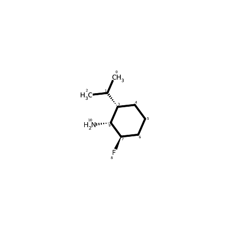 CC(C)[C@@H]1CCC[C@@H](F)[C@@H]1N